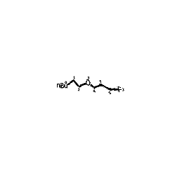 [CH2]CCCCCOCCCF